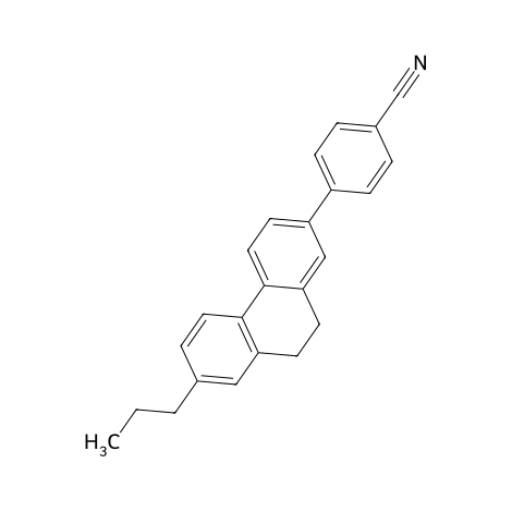 CCCc1ccc2c(c1)CCc1cc(-c3ccc(C#N)cc3)ccc1-2